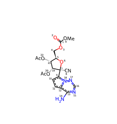 COC(=O)OC[C@H]1O[C@@](C#N)(c2ccc3c(N)ncnn23)[C@H](OC(C)=O)[C@@H]1OC(C)=O